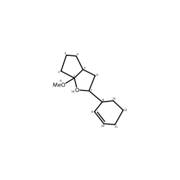 COC12CCCC1CC(C1C=CCCC1)O2